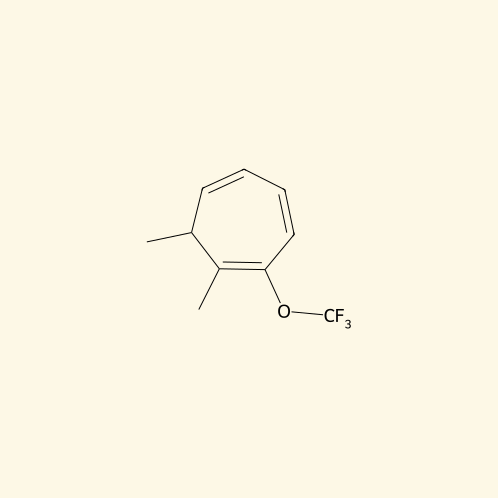 CC1=C(OC(F)(F)F)C=CC=CC1C